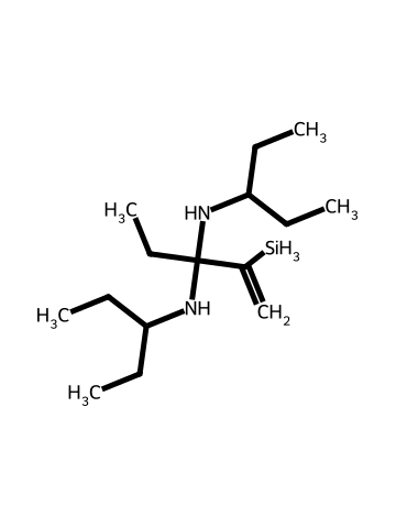 C=C([SiH3])C(CC)(NC(CC)CC)NC(CC)CC